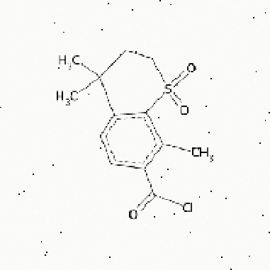 Cc1c(C(=O)Cl)ccc2c1S(=O)(=O)CCC2(C)C